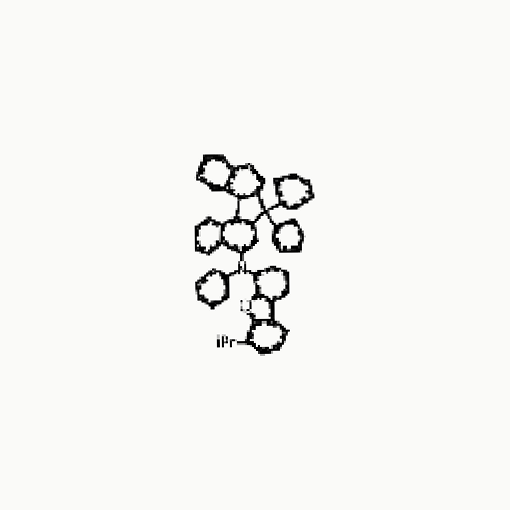 CC(C)c1cccc2c1oc1c(N(c3ccccc3)c3cc4c(c5ccccc35)-c3c(ccc5ccccc35)C4(c3ccccc3)c3ccccc3)cccc12